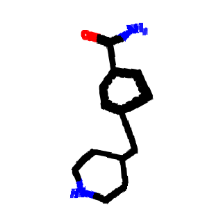 NC(=O)c1ccc(CC2CCNCC2)cc1